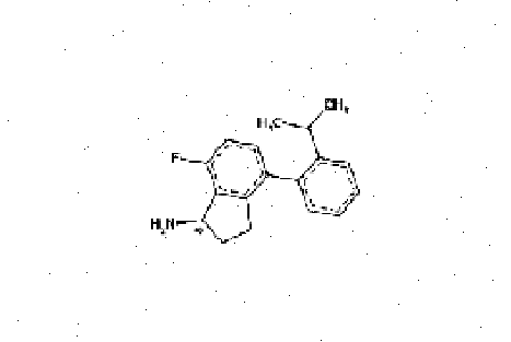 CC(C)c1ccccc1-c1ccc(F)c2c1CC[C@H]2N